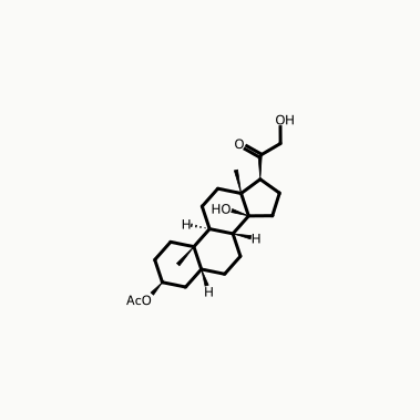 CC(=O)O[C@H]1CC[C@@]2(C)[C@H](CC[C@@H]3[C@@H]2CC[C@]2(C)[C@@H](C(=O)CO)CC[C@]32O)C1